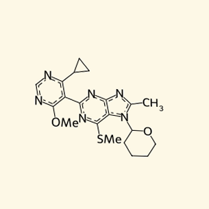 COc1ncnc(C2CC2)c1-c1nc(SC)c2c(n1)nc(C)n2C1CCCCO1